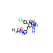 CC(=O)Nc1cc(-c2cc([C@H](c3ccc(Cl)cc3)N(C)C)c(-c3nnc[nH]3)s2)ccn1